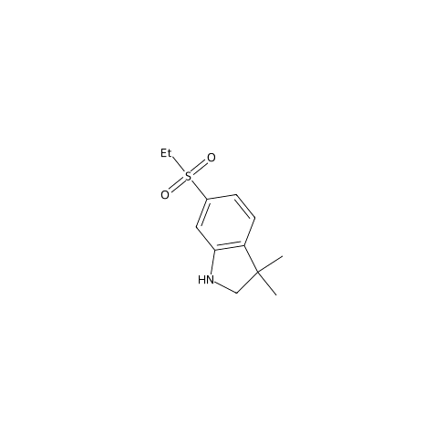 CCS(=O)(=O)c1ccc2c(c1)NCC2(C)C